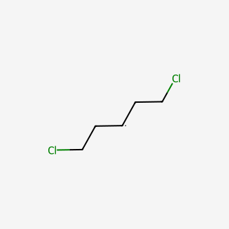 ClCC[CH]CCCl